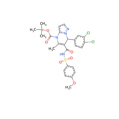 COc1ccc(S(=O)(=O)NC(=O)C2=C(C)N(C(=O)OC(C)(C)C)c3ccnn3C2c2ccc(Cl)c(Cl)c2)cc1